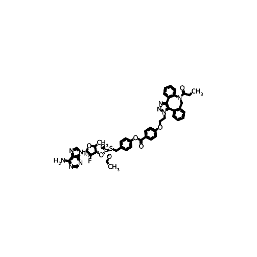 CCO[P@@](=O)(O[C@@H]1C(C)O[C@@H](n2cnc3c(N)ncnc32)[C@@H]1F)SCc1ccc(OC(=O)c2ccc(OCCn3nnc4c3-c3ccccc3CN(C(=O)CC)c3ccccc3-4)cc2)cc1